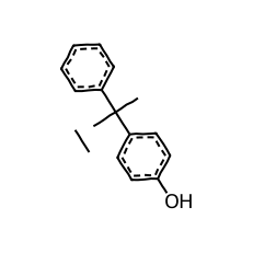 CC.CC(C)(c1ccccc1)c1ccc(O)cc1